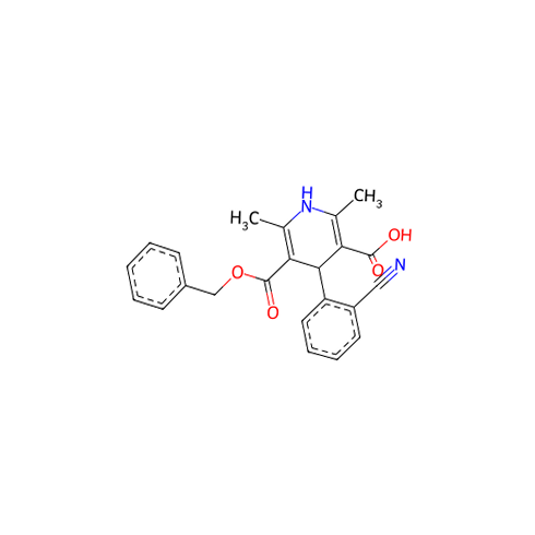 CC1=C(C(=O)O)C(c2ccccc2C#N)C(C(=O)OCc2ccccc2)=C(C)N1